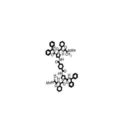 CN[C@@H](C)C(=O)N[C@H](C(=O)N1C[C@@H](NC(=O)C2CCC(C(=O)N[C@H]3C[C@@H](C(=O)NC(c4ccccc4)c4ccccc4)N(C(=O)[C@@H](NC(=O)[C@H](C)NC)C4CCCCC4)C3)CC2)CC1C(=O)NC(c1ccccc1)c1ccccc1)C1CCCCC1